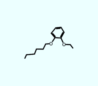 CCCCCCOc1ccccc1OCC